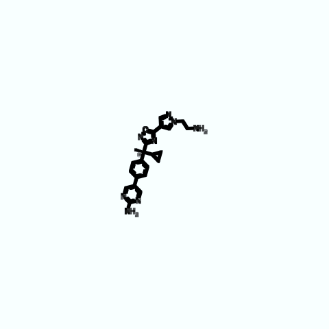 C[C@@](c1ccc(-c2cnc(N)nc2)cc1)(c1noc(-c2cnn(CCN)c2)n1)C1CC1